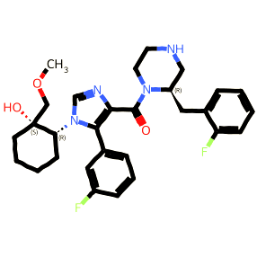 COC[C@]1(O)CCCC[C@H]1n1cnc(C(=O)N2CCNC[C@H]2Cc2ccccc2F)c1-c1cccc(F)c1